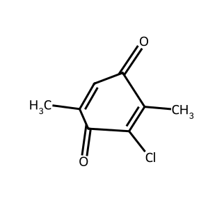 CC1=CC(=O)C(C)=C(Cl)C1=O